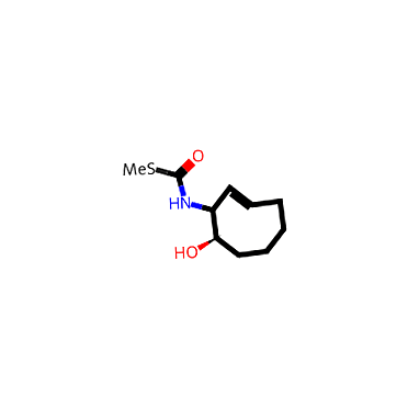 CSC(=O)NC1/C=C/CCCC[C@H]1O